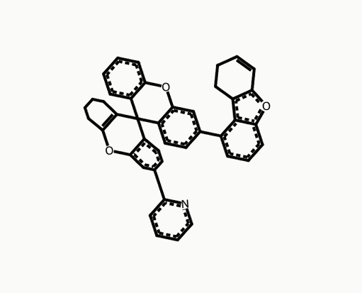 C1=Cc2oc3cccc(-c4ccc5c(c4)Oc4ccccc4C54C5=C(CCCC5)Oc5cc(-c6ccccn6)ccc54)c3c2CC1